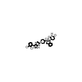 CC1(NCc2ccccc2NC2CCC(=O)NC2=O)CCN(c2cnc3c(-c4cccc(Cl)c4Cl)n[nH]c3n2)CC1